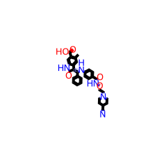 Cc1cc2c(cc1C(=O)O)NC(=O)/C2=C(/Nc1ccc(C(=O)NOCCN2CCC(C#N)CC2)cc1)c1ccccc1